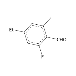 CCc1cc(C)c(C=O)c(F)c1